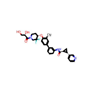 N#Cc1cc(-c2cccc(NC(=O)[C@H]3C[C@@H]3c3cccnc3)c2)ccc1O[C@H]1CCN(C(=O)[C@@H](O)CO)CC1(F)F